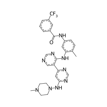 Cc1ccc(NC(=O)c2cccc(C(F)(F)F)c2)cc1Nc1ncncc1-c1cc(NN2CCN(C)CC2)ncn1